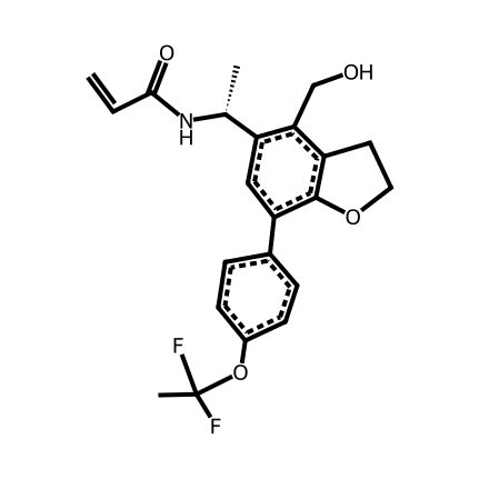 C=CC(=O)N[C@H](C)c1cc(-c2ccc(OC(C)(F)F)cc2)c2c(c1CO)CCO2